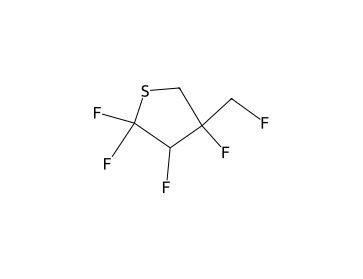 FCC1(F)CSC(F)(F)C1F